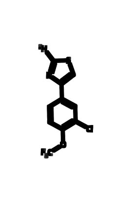 [2H]c1nc(-c2ccc(OC(F)(F)F)c(Cl)c2)cs1